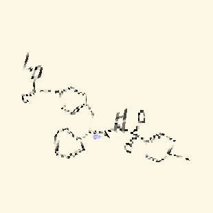 CCOC(=O)c1ccc(C/C(=N\NS(=O)(=O)c2ccc(C)cc2)c2ccccc2)cc1